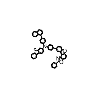 c1ccc(-c2nc3c(ccc4oc5ccc(-c6ccc(N(c7ccc(-c8cccc9ccccc89)cc7)c7ccc8c(c7)sc7ccccc78)cc6)cc5c43)o2)cc1